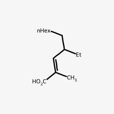 CCCCCCCC(C=C(C)C(=O)O)CC